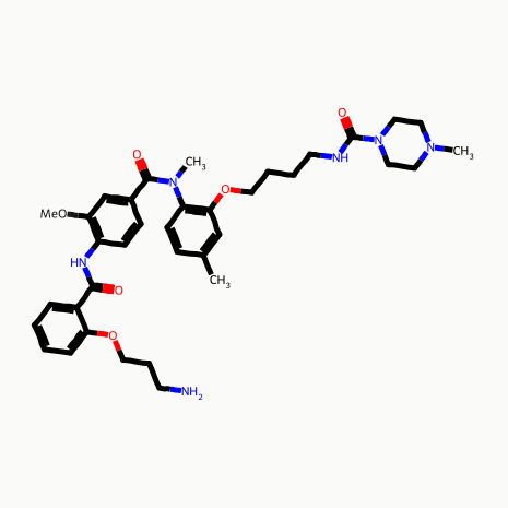 COc1cc(C(=O)N(C)c2ccc(C)cc2OCCCCNC(=O)N2CCN(C)CC2)ccc1NC(=O)c1ccccc1OCCCN